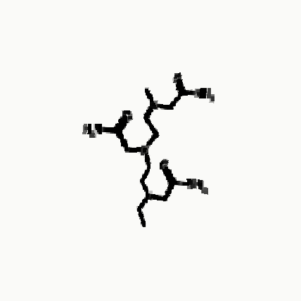 CCN(CCN(CCN(C)CC(N)=O)CC(N)=O)CC(N)=O